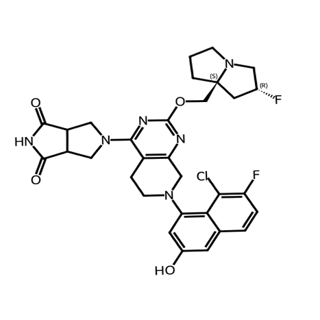 O=C1NC(=O)C2CN(c3nc(OC[C@@]45CCCN4C[C@H](F)C5)nc4c3CCN(c3cc(O)cc5ccc(F)c(Cl)c35)C4)CC12